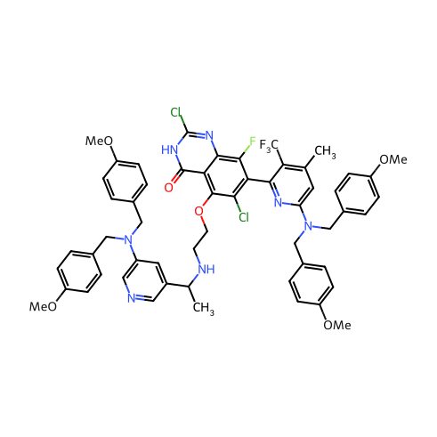 COc1ccc(CN(Cc2ccc(OC)cc2)c2cncc(C(C)NCCOc3c(Cl)c(-c4nc(N(Cc5ccc(OC)cc5)Cc5ccc(OC)cc5)cc(C)c4C(F)(F)F)c(F)c4nc(Cl)[nH]c(=O)c34)c2)cc1